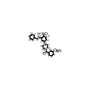 CC(C)Oc1cccc(C(=O)N2CCN(c3ccc([N+](=O)[O-])c(NCc4ccccc4)c3)CC2)c1